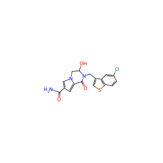 NC(=O)c1cc2n(c1)CC(O)N(Cc1csc3ccc(Cl)cc13)C2=O